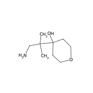 CC(C)(CN)C1(O)CCOCC1